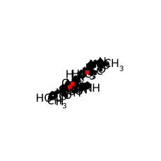 COc1cc(CN2CCN(C3CC4(CCN(c5ccc(C(=O)NS(=O)(=O)c6ccc(NCC7CCC(C)(O)CC7)c([N+](=O)[O-])c6)c(N6c7cc8cc[nH]c8nc7O[C@H]7COCC[C@@H]76)c5)CC4)C3)[C@H](c3ccsc3C)C2)cnc1OC